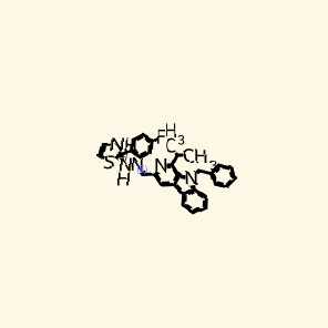 CC(C)c1nc(/C=N/N[C@]2(c3ccc(F)cc3)NC=CS2)cc2c3ccccc3n(Cc3ccccc3)c12